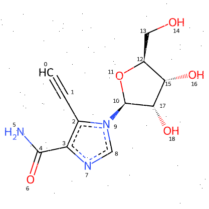 C#Cc1c(C(N)=O)ncn1[C@H]1O[C@@H](CO)[C@H](O)[C@@H]1O